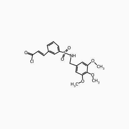 COc1cc(CNS(=O)(=O)c2cccc(C=CC(=O)Cl)c2)cc(OC)c1OC